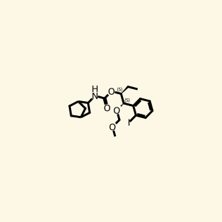 CC[C@H](OC(=O)NC1CC2CCC1C2)[C@@H](OCOC)c1ccccc1I